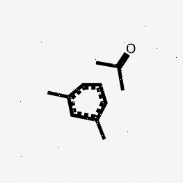 CC(C)=O.Cc1cccc(C)c1